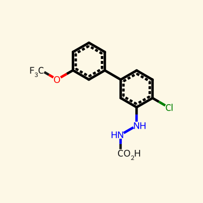 O=C(O)NNc1cc(-c2cccc(OC(F)(F)F)c2)ccc1Cl